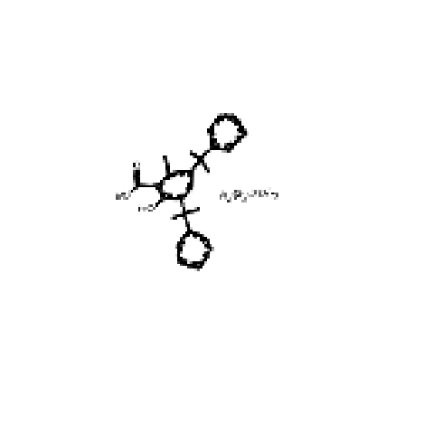 Cc1c(C(C)(C)c2ccccc2)cc(C(C)(C)c2ccccc2)c(O)c1C(=O)O.O.O.O